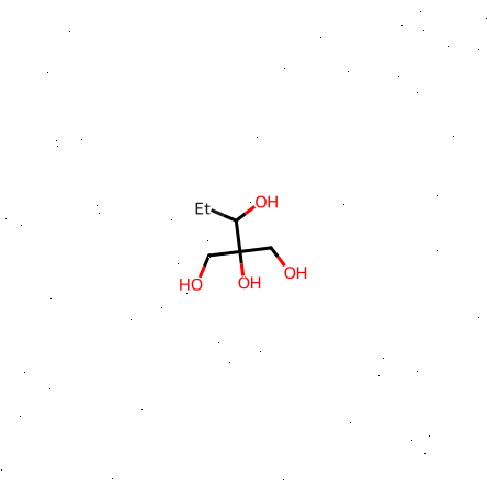 CCC(O)C(O)(CO)CO